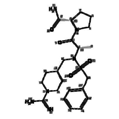 C[C@@H](C(=O)N1CCC[C@H]1C(N)=O)N(CC1CCN(C(=N)N)CC1)S(=O)(=O)Cc1ccccc1